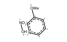 COc1cccnc1.O=[N+]([O-])O